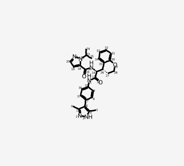 Cc1n[nH]c(C)c1-c1ccc(NC(=O)[C@@H](NC(=O)c2ccnn2C(C)C)[C@H]2CCOc3ccccc32)cc1